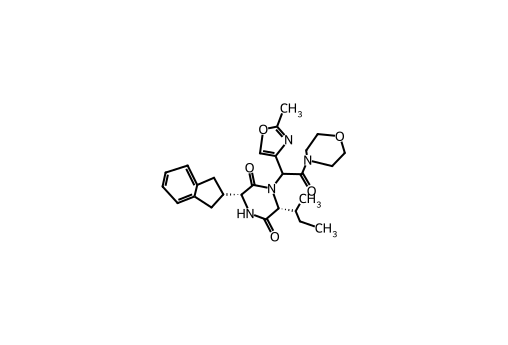 CCC(C)[C@@H]1C(=O)N[C@H](C2Cc3ccccc3C2)C(=O)N1C(C(=O)N1CCOCC1)c1coc(C)n1